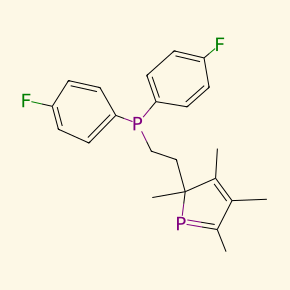 CC1=PC(C)(CCP(c2ccc(F)cc2)c2ccc(F)cc2)C(C)=C1C